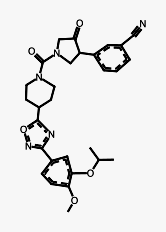 COc1ccc(-c2noc(C3CCN(C(=O)N4CC(=O)C(c5cccc(C#N)c5)C4)CC3)n2)cc1OC(C)C